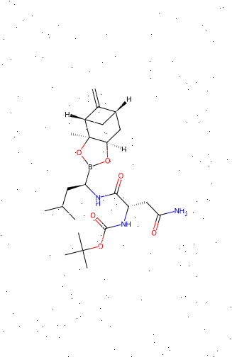 C=C1[C@@H]2C[C@H]3OB([C@H](CC(C)C)NC(=O)[C@H](CC(N)=O)NC(=O)OC(C)(C)C)O[C@@]3(C)[C@H]1C2